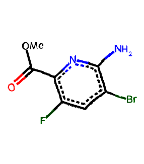 COC(=O)c1nc(N)c(Br)cc1F